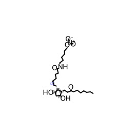 CCCCCCCC(=O)CC[C@@H]1[C@@H](C/C=C\CCCC(=O)NCCCCCCO[N+](=O)[O-])[C@@H](O)C[C@H]1O